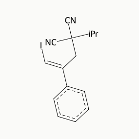 CC(C)C(C#N)(C#N)CC(=CI)c1ccccc1